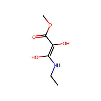 CCNC(O)=C(O)C(=O)OC